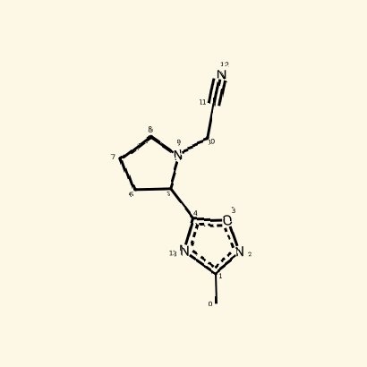 Cc1noc(C2CCCN2CC#N)n1